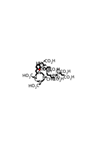 O=CCN1CCN(CC(=O)O)CCN(CC(=O)O)CC(Cc2ccc(N[C@H](CC(=O)O)C(=O)C[C@H](CC(=O)O)C(=O)NCCCC[C@H](NC(=O)N[C@@H](CCC(=O)O)C(=O)O)C(=O)O)cc2)N(CC(=O)O)CC1